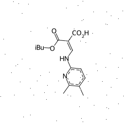 CCC(C)OC(=O)C(=CNc1ccc(C)c(C)n1)C(=O)O